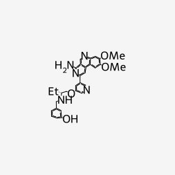 CC[C@H](COc1cncc(-c2cc3c(cnc4cc(OC)c(OC)cc43)c(N)n2)c1)NCc1cccc(O)c1